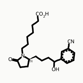 N#Cc1cccc(C(O)CCC[C@H]2CCC(=O)N2CCCCCCC(=O)O)c1